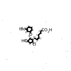 CC(C)(C)c1cccc(OC[C@@H]2[C@@H](C/C=C\CCCC(=O)O)[C@H](Cl)C[C@H]2O)c1